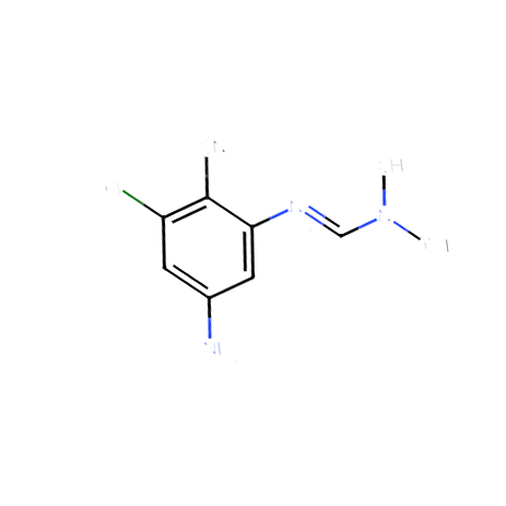 CN(C)/C=N/c1cc(N)cc(Cl)c1C#N